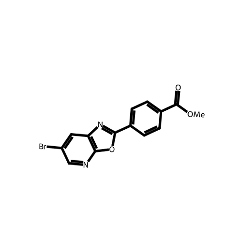 COC(=O)c1ccc(-c2nc3cc(Br)cnc3o2)cc1